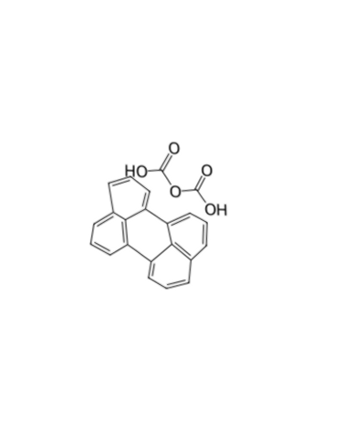 O=C(O)OC(=O)O.c1cc2cccc3c4cccc5cccc(c(c1)c23)c54